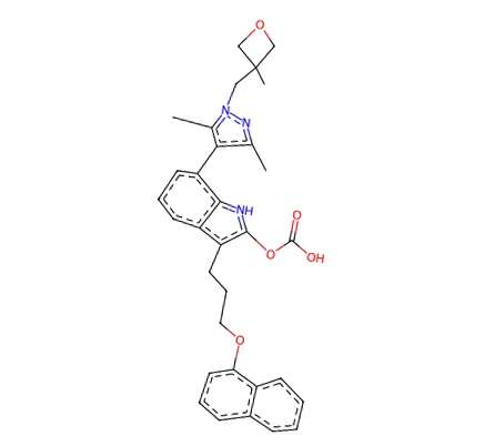 Cc1nn(CC2(C)COC2)c(C)c1-c1cccc2c(CCCOc3cccc4ccccc34)c(OC(=O)O)[nH]c12